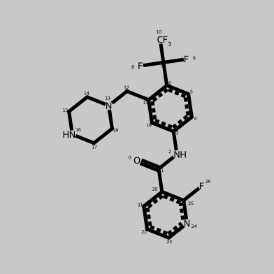 O=C(Nc1ccc(C(F)(F)C(F)(F)F)c(CN2CCNCC2)c1)c1cccnc1F